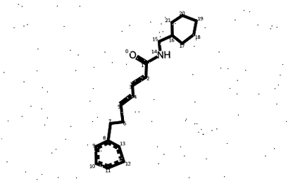 O=C(/C=C/C=C/CCc1ccccc1)NCC1CCCCC1